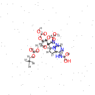 COC(=O)O[C@H]1[C@@H](OC(=O)OC)[C@](C#N)(c2ccc3c(NC(=O)O)ncnn23)O[C@@H]1COC(=O)OCC(C)(C)C